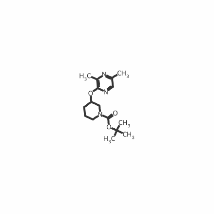 Cc1cnc(OC2CCCN(C(=O)OC(C)(C)C)C2)c(C)n1